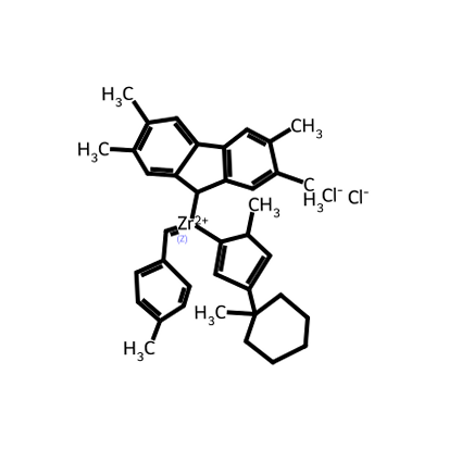 Cc1ccc(/[CH]=[Zr+2](\[C]2=CC(C3(C)CCCCC3)=CC2C)[CH]2c3cc(C)c(C)cc3-c3cc(C)c(C)cc32)cc1.[Cl-].[Cl-]